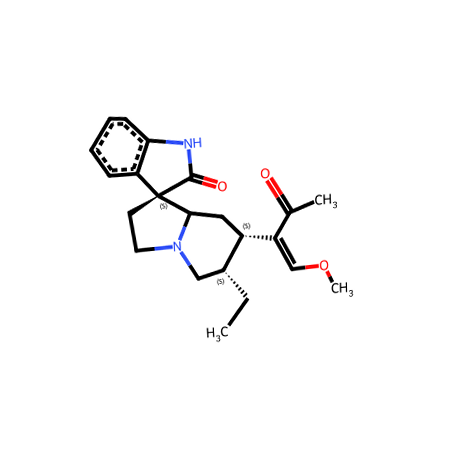 CC[C@@H]1CN2CC[C@@]3(C(=O)Nc4ccccc43)C2C[C@@H]1C(=COC)C(C)=O